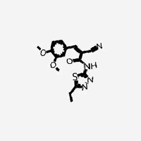 CCc1nnc(NC(=O)C(C#N)=Cc2ccc(OC)c(OC)c2)s1